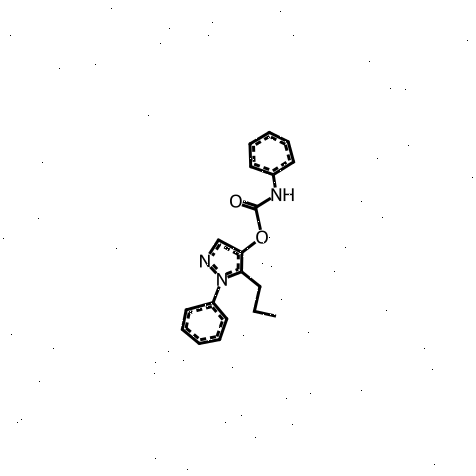 CCCc1c(OC(=O)Nc2ccccc2)cnn1-c1ccccc1